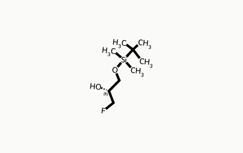 CC(C)(C)[Si](C)(C)OC[C@@H](O)CF